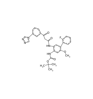 COc1cc(NC(=O)OC(C)(C)C)c(NC(=O)CC(=O)c2cccc(-n3cnnc3)c2)cc1-c1ccccc1F